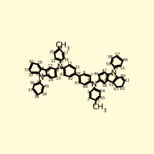 Cc1ccc(N(c2ccc(-c3ccc(N(c4ccc(C)cc4)c4ccc5c(c4)c4ccccc4n5-c4ccccc4)cc3)cc2)c2ccc3c(c2)c2c(n3-c3ccccc3)C=CCC2)cc1